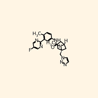 Cc1ccc(NC(=O)N2[C@@H]3C[C@@H](C)C[C@@]2(Cn2ccnn2)C3)cc1-c1ncc(F)cn1